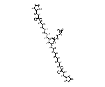 C=C(CCCN(C)C)OC(CCCCCCCCCOC(=O)CCC1CCCC1)CCCCCCCCCOC(=O)CCC1CCCC1